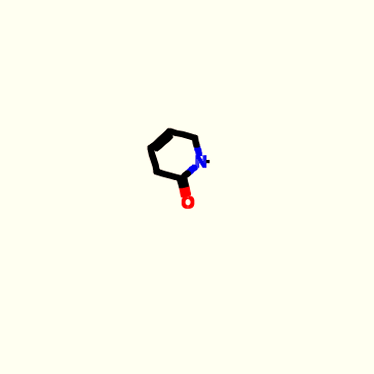 O=C1CC=CC[N]1